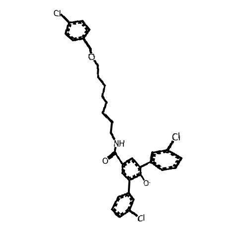 [O]c1c(-c2cccc(Cl)c2)cc(C(=O)NCCCCCCCCOCc2ccc(Cl)cc2)cc1-c1cccc(Cl)c1